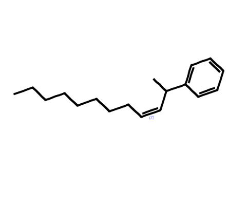 CCCCCCCC/C=C\C(C)c1ccccc1